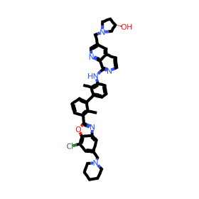 Cc1c(Nc2nccc3cc(CN4CC[C@H](O)C4)cnc23)cccc1-c1cccc(-c2nc3cc(CN4CCCCC4)cc(Cl)c3o2)c1C